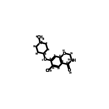 CN1CCC(Oc2cc3c(cc2Cl)C(=O)NCO3)CC1